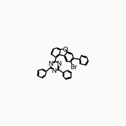 Brc1cc2c(cc1-c1ccccc1)oc1cccc(-c3nc(-c4ccccc4)nc(-c4ccccc4)n3)c12